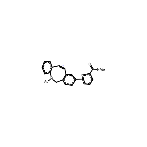 CNC(=O)c1cccc(-c2ccc3c(c2)/C=C\c2ccccc2N(C(C)=O)C3)n1